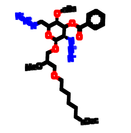 CCCCCCCCCCCCCCCCOCC(CO[C@@H]1OC(CN=[N+]=[N-])[C@H](OCCCC)C(OC(=O)c2ccccc2)[C@@H]1N=[N+]=[N-])OC